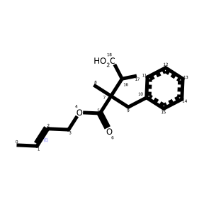 C/C=C/COC(=O)C(C)(Cc1ccccc1)C(C)C(=O)O